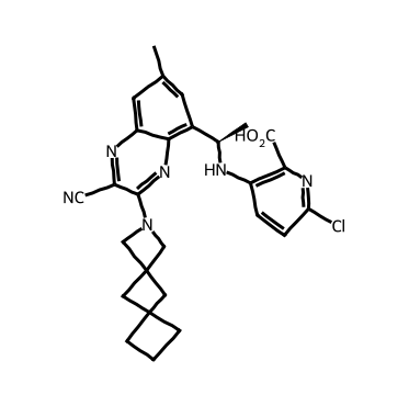 Cc1cc([C@@H](C)Nc2ccc(Cl)nc2C(=O)O)c2nc(N3CC4(C3)CC3(CCC3)C4)c(C#N)nc2c1